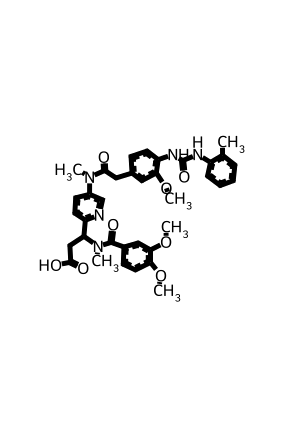 COc1cc(CC(=O)N(C)c2ccc(C(CC(=O)O)N(C)C(=O)c3ccc(OC)c(OC)c3)nc2)ccc1NC(=O)Nc1ccccc1C